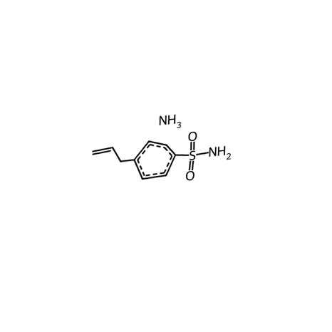 C=CCc1ccc(S(N)(=O)=O)cc1.N